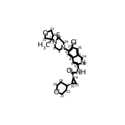 C[C@@]1(N2CCN(c3cc4cc(NC(=O)[C@H]5C[C@H]5C5CCOCC5)ncc4cc3Cl)CC2)COC[C@@H]1F